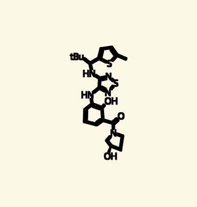 Cc1ccc(C(Nc2nsnc2Nc2cccc(C(=O)N3CC[C@@H](O)C3)c2O)C(C)(C)C)s1